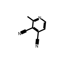 Cc1nccc(C#N)c1C#N